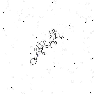 CC(OC(=O)[C@@H]1N2C(=O)C(/N=C/N3CCCCCC3)[C@H]2SC1(C)C)OC(=O)[C@@H]1N2C(=O)C[C@H]2S(=O)(=O)C1(C)C